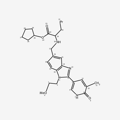 COCCn1c(-c2c[nH]c(=O)c(C)c2)nc2cc(CNC(CC(C)C)C(=O)OC3CCCC3)ccc21